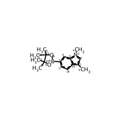 Cc1cn(C)c2cc(B3OC(C)(C)C(C)(C)O3)ccc12